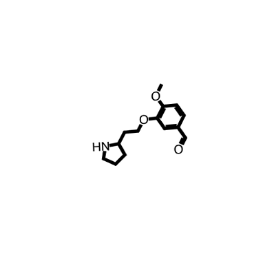 COc1ccc(C=O)cc1OCCC1CCCN1